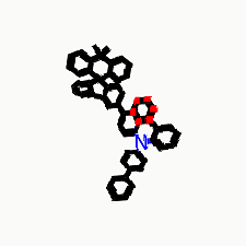 CC1(C)c2ccccc2C2(c3ccccc3-c3cc(-c4ccc(N(c5ccc(-c6ccccc6)cc5)c5ccccc5-c5ccccc5)c5ccccc45)ccc32)c2ccccc21